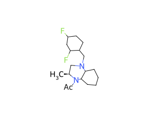 CC(=O)N1C2CCCCC2N(CC2CCC(F)CC2F)C[C@@H]1C